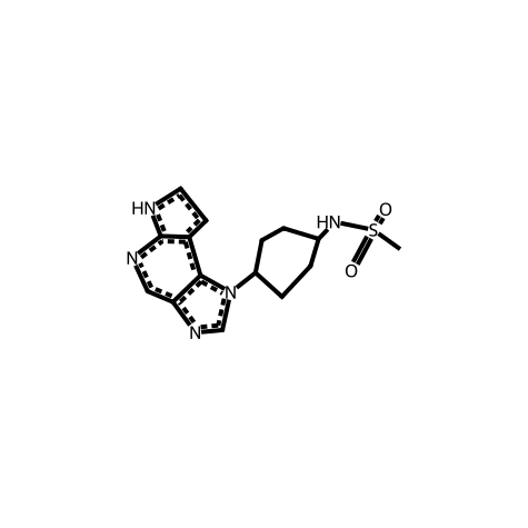 CS(=O)(=O)NC1CCC(n2cnc3cnc4[nH]ccc4c32)CC1